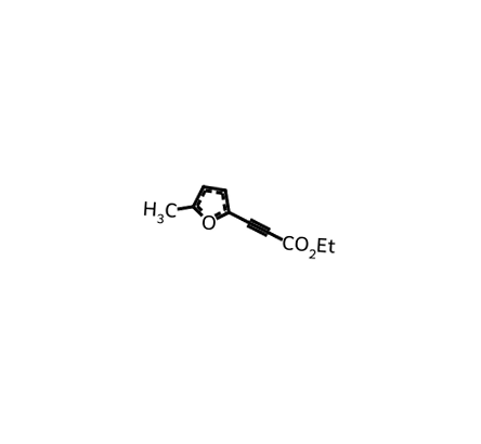 CCOC(=O)C#Cc1ccc(C)o1